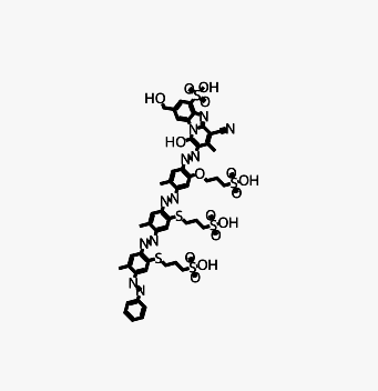 Cc1cc(N=Nc2cc(SCCCS(=O)(=O)O)c(N=Nc3cc(OCCCS(=O)(=O)O)c(N=Nc4c(C)c(C#N)c5nc6c(S(=O)(=O)O)cc(CO)cc6n5c4O)cc3C)cc2C)c(SCCCS(=O)(=O)O)cc1N=Nc1ccccc1